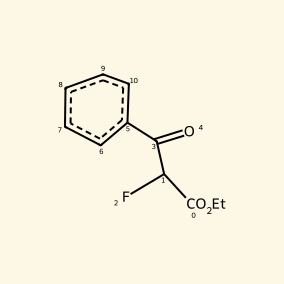 CCOC(=O)C(F)C(=O)c1ccccc1